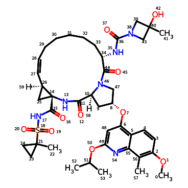 COc1ccc2c(O[C@@H]3C[C@H]4C(=O)N[C@]5(C(=O)NS(=O)(=O)C6(C)CC6)C[C@H]5/C=C\CCCCC[C@H](NC(=O)N5CC(C)(O)C5)C(=O)N4C3)cc(OC(C)C)nc2c1C